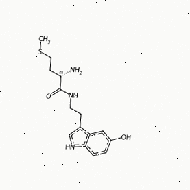 CSCC[C@H](N)C(=O)NCCc1c[nH]c2ccc(O)cc12